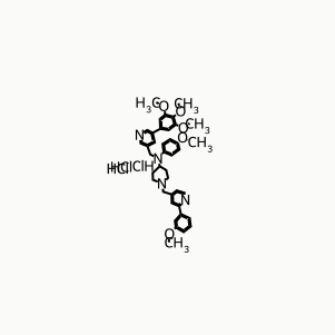 COc1ccc(N(Cc2cncc(-c3cc(OC)c(OC)c(OC)c3)c2)C2CCN(Cc3ccnc(-c4cccc(OC)c4)c3)CC2)cc1.Cl.Cl.Cl